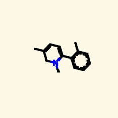 CC1=CC=C(c2ccccc2C)N(C)C1